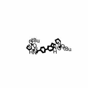 CC(C)(C)OC(=O)N1CCC[C@H]1c1cc2cc(-c3ccc(-c4c[nH]c([C@@H]5CCCN5C(=O)OC(C)(C)C)n4)cc3)ccc2[nH]1